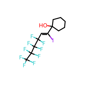 OC1(C(I)=CC(F)(F)C(F)(F)C(F)(F)C(F)(F)F)CCCCC1